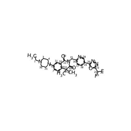 CCN1CCN(c2ccc3c(c2)C(=O)N(Cc2ccc(-c4nnc(C(F)F)o4)cn2)C(=O)C3(C)C)CC1